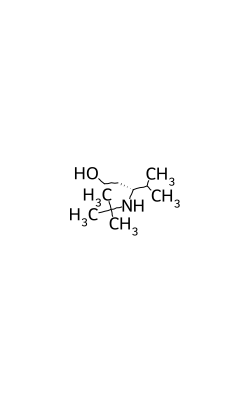 CC(C)[C@@H](CCO)NC(C)(C)C